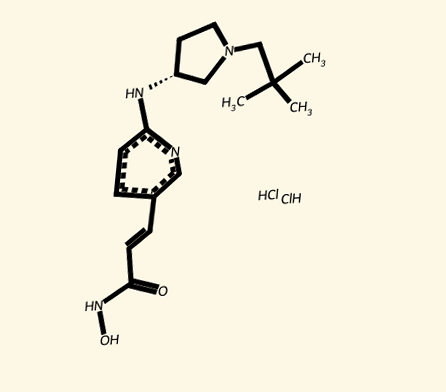 CC(C)(C)CN1CC[C@@H](Nc2ccc(/C=C/C(=O)NO)cn2)C1.Cl.Cl